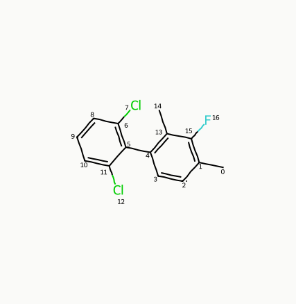 Cc1[c]cc(-c2c(Cl)cccc2Cl)c(C)c1F